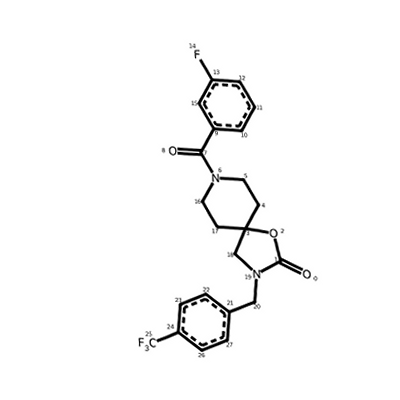 O=C1OC2(CCN(C(=O)c3cccc(F)c3)CC2)CN1Cc1ccc(C(F)(F)F)cc1